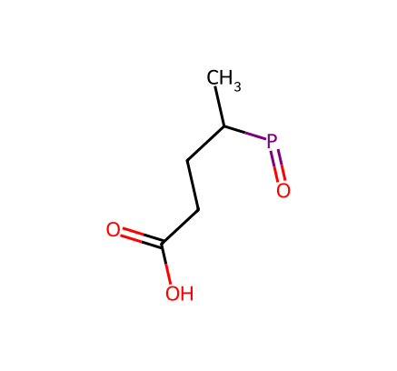 CC(CCC(=O)O)P=O